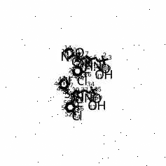 CC(C)(C)C(Cc1cc(S(=O)(=O)c2cccnc2)n(-c2cccc(Cl)c2F)n1)NC(=O)O.CC(C)(C)C(Cc1cc(Sc2cccnc2)n(-c2cccc(Cl)c2F)n1)NC(=O)O